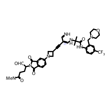 CNC(=O)CCC(C=O)N1C(=O)c2ccc(N3CC(C#C/C(C=N)=C/NC(C)(C)C(=O)Nc4ccc(C(F)(F)F)cc4CN4CCOCC4)C3)cc2C1=O